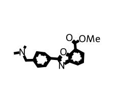 COC(=O)c1cccc2nc(-c3ccc(CN(C)C)cc3)oc12